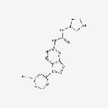 Cc1cc(-n2ncc3cc(NC(=O)NC4CCNC4)ncc32)ccn1